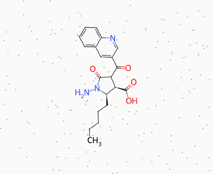 CCCCC[C@@H]1[C@H](C(=O)O)C(C(=O)c2cnc3ccccc3c2)C(=O)N1N